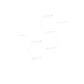 O=c1cc(CCl)c2c(ccc3c(Br)cccc32)o1